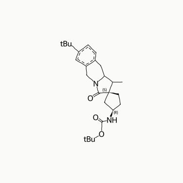 CC1C2Cc3ccc(C(C)(C)C)cc3CN2C(=O)[C@]12CC[C@@H](NC(=O)OC(C)(C)C)C2